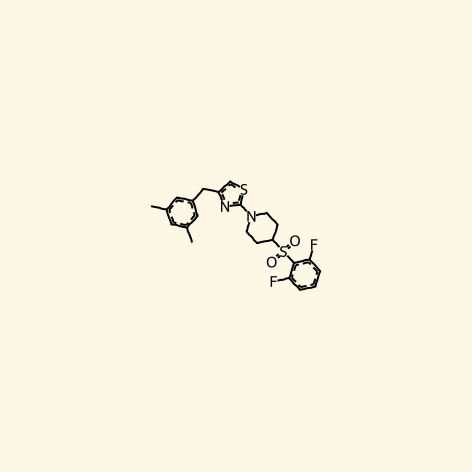 Cc1cc(C)cc(Cc2csc(N3CCC(S(=O)(=O)c4c(F)cccc4F)CC3)n2)c1